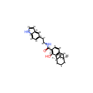 C[C@H]1[C@@H]2CCC[C@@]1(C)c1c(ccc(C(=O)NCCc3ccc4[nH]ccc4c3)c1O)C2